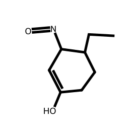 CCC1CCC(O)=CC1N=O